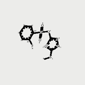 CSc1nnc(OS(=O)(=O)c2ccccc2F)o1